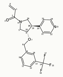 C=CC(=O)N1C[C@@H](OCc2cccc(C(F)(F)F)c2)[C@H](c2ccncc2)C1